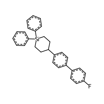 Fc1ccc(-c2ccc(C3CC[Si](c4ccccc4)(c4ccccc4)CC3)cc2)cc1